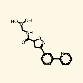 O=C(NCB(O)O)C1CC(c2cccc(-c3ccccn3)c2)=NO1